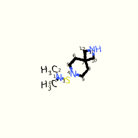 CN(C)SN1CCC2(CC1)CNC2